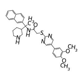 COc1ccc(-c2cnc(SCC(=O)NC(C)(c3ccc4ccccc4c3)C3CCCNC3)nc2)cc1OC